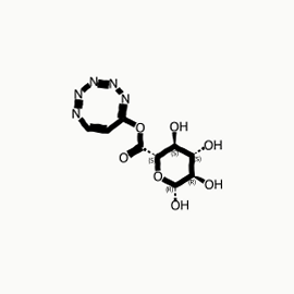 O=C(OC1=NN=NN=NC=C1)[C@H]1O[C@@H](O)[C@H](O)[C@@H](O)[C@@H]1O